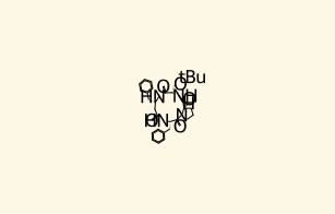 CC(C)(C)OC[C@@H]1NC(=O)[C@@H]2CCCN2C(=O)[C@H](Cc2ccccc2)NC(=O)C[C@H](Cc2ccccc2)NC1=O